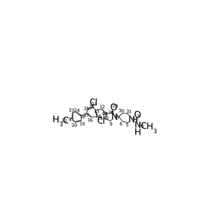 CNC(=O)N1CCC(N2CC[C@@H](Cc3c(Cl)cc(-c4ccc(C)cc4)cc3Cl)C2=O)CC1